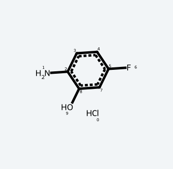 Cl.Nc1ccc(F)cc1O